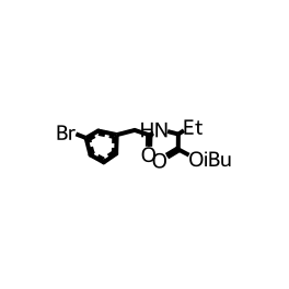 CCC(NC(=O)Cc1cccc(Br)c1)C(=O)OCC(C)C